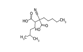 CCCCCC(C#N)(C(=O)O)C(CCC(C)C)C(=O)O